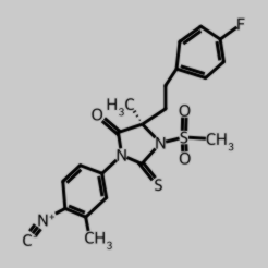 [C-]#[N+]c1ccc(N2C(=O)[C@@](C)(CCc3ccc(F)cc3)N(S(C)(=O)=O)C2=S)cc1C